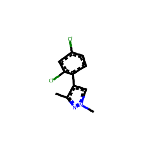 Cc1nn(C)cc1-c1ccc(Cl)cc1Cl